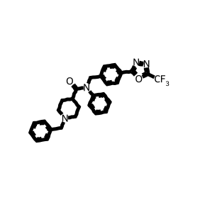 O=C(C1CCN(Cc2ccccc2)CC1)N(Cc1ccc(-c2nnc(C(F)(F)F)o2)cc1)c1ccccc1